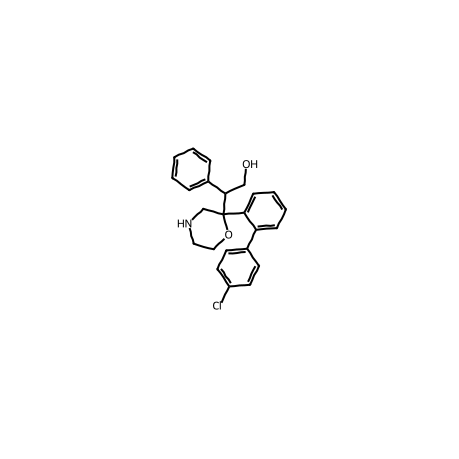 OCC(c1ccccc1)C1(c2ccccc2-c2ccc(Cl)cc2)CNCCO1